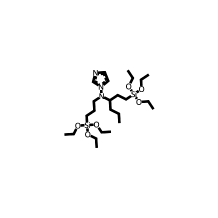 CCCC(CC[Si](OCC)(OCC)OCC)N(CCC[Si](OCC)(OCC)OCC)n1ccnc1